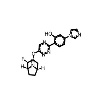 Oc1cc(-n2ccnc2)ccc1-c1ncc(O[C@H]2C[C@@H]3CC[C@@H](N3)[C@H]2F)nn1